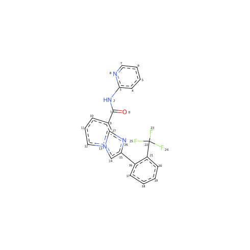 O=C(Nc1ccccn1)c1cccn2cc(-c3ccccc3C(F)(F)F)nc12